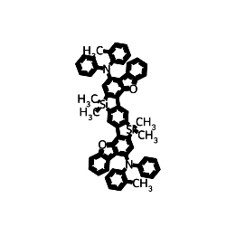 Cc1ccccc1N(c1ccccc1)c1cc2c(c3oc4ccccc4c13)-c1cc3c(cc1[Si]2(C)C)-c1c(cc(N(c2ccccc2)c2ccccc2C)c2c1oc1ccccc12)[Si]3(C)C